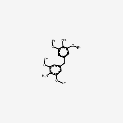 CC(C)Oc1cc(Cc2cc(OC(C)C)c(N)c(OC(C)C)c2)cc(OC(C)C)c1N